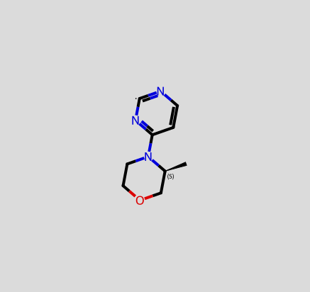 C[C@H]1COCCN1c1ccn[c]n1